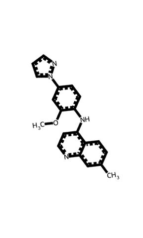 COc1cc(-n2cccn2)ccc1Nc1ccnc2cc(C)ccc12